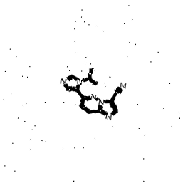 CC(C)n1cncc1-c1ccc2ncc(C#N)n2n1